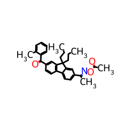 CCCC1(CCC)c2cc(C(=O)c3ccccc3C)ccc2-c2ccc(C(C)=NOC(C)=O)cc21